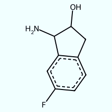 NC1c2cc(F)ccc2CC1O